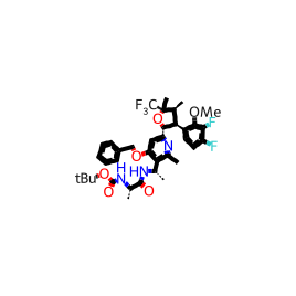 COc1c([C@H]2[C@H](c3cc(OCc4ccccc4)c([C@H](C)NC(=O)[C@H](C)NC(=O)OC(C)(C)C)c(C)n3)O[C@@](C)(C(F)(F)F)[C@H]2C)ccc(F)c1F